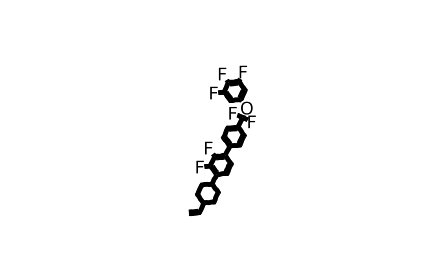 C=CC1CCC(c2ccc(-c3ccc(C(F)(F)Oc4cc(F)c(F)c(F)c4)cc3)c(F)c2F)CC1